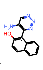 Nc1cnnnc1-c1c(O)ccc2ccccc12